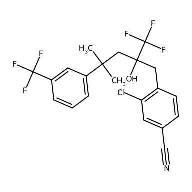 CC(C)(CC(O)(Cc1ccc(C#N)cc1Cl)C(F)(F)F)c1cccc(C(F)(F)F)c1